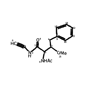 C#CNC(=O)C(NC(C)=O)C(Cc1ccccc1)OC